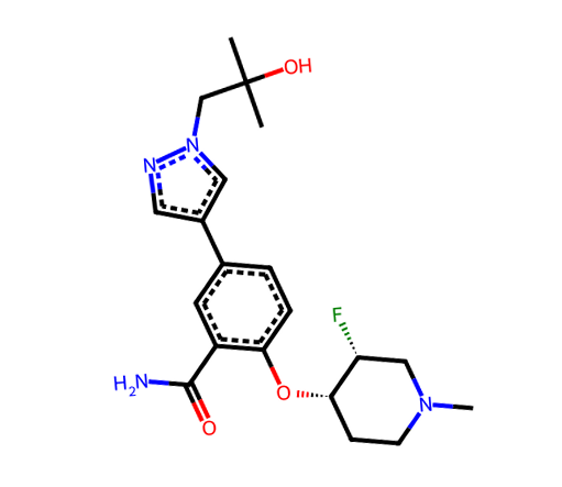 CN1CC[C@H](Oc2ccc(-c3cnn(CC(C)(C)O)c3)cc2C(N)=O)[C@H](F)C1